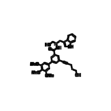 COc1cc(-c2cc(C#CCCCO)cc(C(=O)N[C@@H](CO)Cc3c[nH]c4ccccc34)c2)cc(OC)c1OC